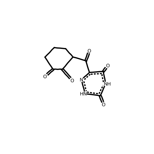 O=C1CCCC(C(=O)c2n[nH]c(=O)[nH]c2=O)C1=O